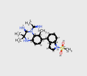 CC(=N)N1C(=N)C(C)(C)Nc2ccc(-c3cccc4c3ccn4S(C)(=O)=O)c(C)c21